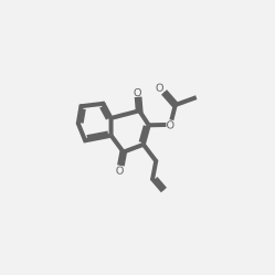 C=CCC1=C(OC(C)=O)C(=O)c2ccccc2C1=O